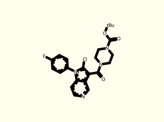 CC(C)(C)OC(=O)N1CCN(C(=O)c2c(Cl)n(-c3ccc(F)cc3)c3ccncc23)CC1